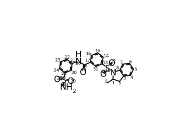 CC1Cc2ccccc2N1S(=O)(=O)c1cccc(C(=O)Nc2cccc(S(N)(=O)=O)c2)c1